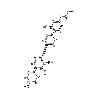 CCOCc1ccc(C2C=CC(C#Cc3ccc(C4CCC(O)CC4)c(F)c3F)=CC2)c(F)c1